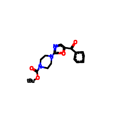 CC(C)(C)OC(=O)N1CCN(c2ncc(C(=O)c3ccccc3)o2)CC1